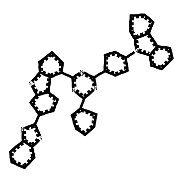 c1ccc(-c2nc(-c3ccc(-n4c5ccccc5c5ccccc54)cc3)nc(-c3cccc4sc5cc(-c6nc7ccccc7s6)ccc5c34)n2)cc1